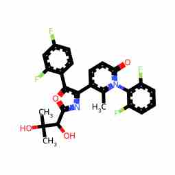 Cc1c(-c2nc(C(O)C(C)(C)O)oc2-c2ccc(F)cc2F)ccc(=O)n1-c1c(F)cccc1F